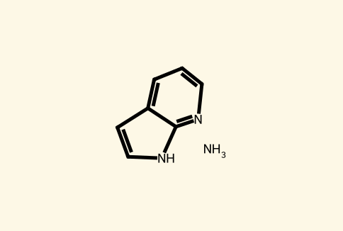 N.c1cnc2[nH]ccc2c1